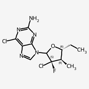 CC[C@H]1OC(n2cnc3c(Cl)nc(N)nc32)[C@@](F)(Cl)[C@@H]1C